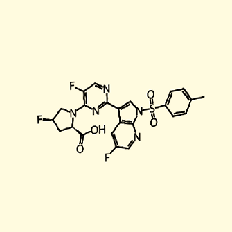 Cc1ccc(S(=O)(=O)n2cc(-c3ncc(F)c(N4C[C@H](F)C[C@@H]4C(=O)O)n3)c3cc(F)cnc32)cc1